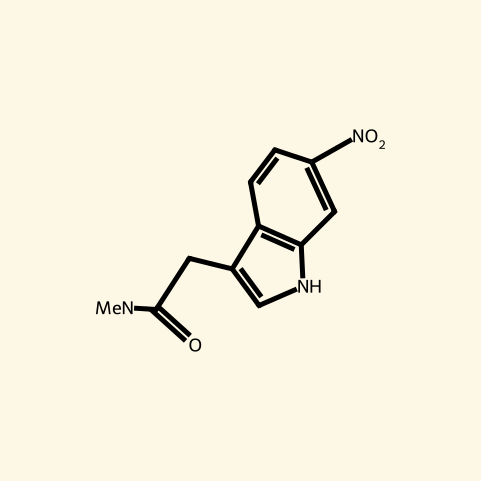 CNC(=O)Cc1c[nH]c2cc([N+](=O)[O-])ccc12